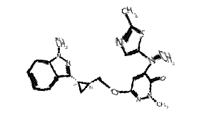 Cc1ncc(N(C)c2cc(OC[C@H]3C[C@@H]3c3nn(C)c4ccccc34)nn(C)c2=O)s1